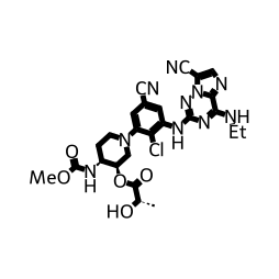 CCNc1nc(Nc2cc(C#N)cc(N3CC[C@@H](NC(=O)OC)[C@H](OC(=O)[C@H](C)O)C3)c2Cl)nn2c(C#N)cnc12